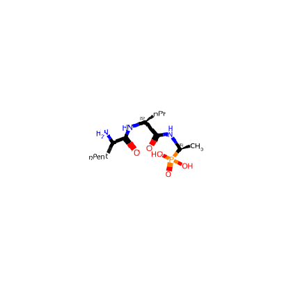 CCCCCC(N)C(=O)N[C@@H](CCC)C(=O)N[C@@H](C)P(=O)(O)O